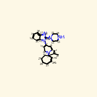 CC(C)C1(N2CCC(n3c(N4CCNCC4)nc4ccccc43)CC2)CCCCCC1